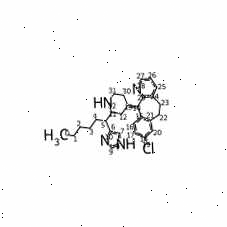 CCCCCC(c1c[nH]cn1)C1C/C(=C2\c3ccc(Cl)cc3CCc3cccnc32)CCN1